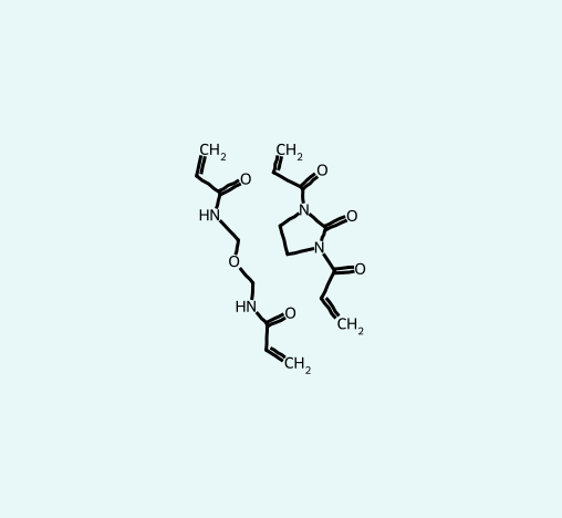 C=CC(=O)N1CCN(C(=O)C=C)C1=O.C=CC(=O)NCOCNC(=O)C=C